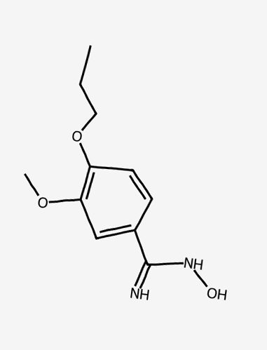 CCCOc1ccc(C(=N)NO)cc1OC